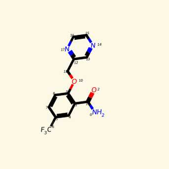 NC(=O)c1cc(C(F)(F)F)ccc1OCc1cnccn1